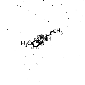 CCCCNS(=O)(=O)C1(C)CCCC(C)C1